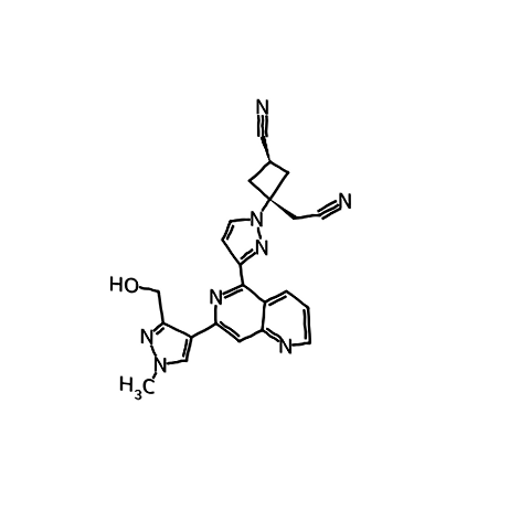 Cn1cc(-c2cc3ncccc3c(-c3ccn([C@]4(CC#N)C[C@@H](C#N)C4)n3)n2)c(CO)n1